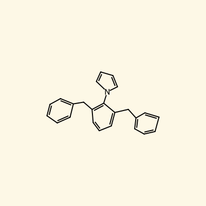 c1ccc(Cc2cccc(Cc3ccccc3)c2-n2cccc2)cc1